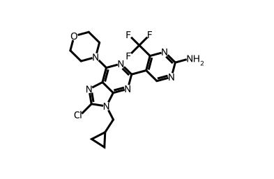 Nc1ncc(-c2nc(N3CCOCC3)c3nc(Cl)n(CC4CC4)c3n2)c(C(F)(F)F)n1